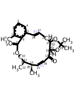 Cc1cccc2c1C(=O)OC[C@H](C)[C@H](C)/C=C\C(=O)[C@H]1OC(C)(C)O[C@H]1C/C=C/2